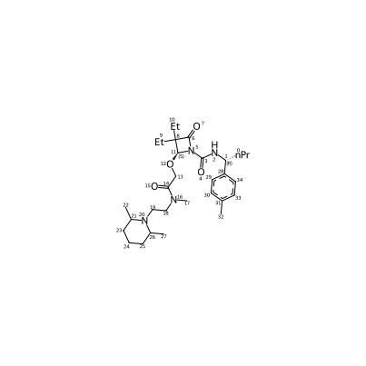 CCC[C@@H](NC(=O)N1C(=O)C(CC)(CC)[C@@H]1OCC(=O)N(C)CCN1C(C)CCCC1C)c1ccc(C)cc1